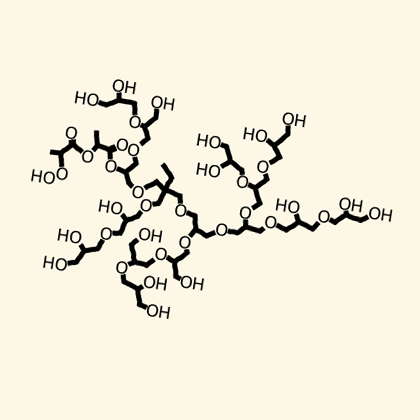 CCC(COCC(O)COCC(O)CO)(COCC(COCC(COCC(O)COCC(O)CO)OCC(COCC(O)CO)OCC(O)CO)OCC(CO)OCC(CO)OCC(O)CO)COCC(COCC(CO)OCC(O)CO)OC(=O)C(C)OC(=O)C(C)OO